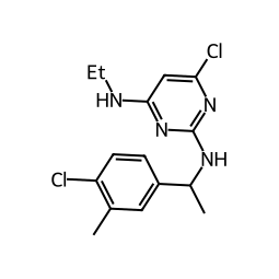 CCNc1cc(Cl)nc(NC(C)c2ccc(Cl)c(C)c2)n1